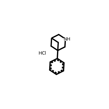 Cl.c1ccc(C23CNCC(C2)C3)cc1